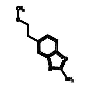 COCCc1ccc2oc(N)nc2c1